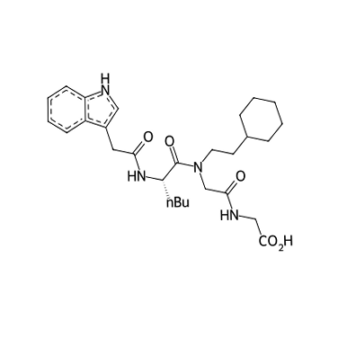 CCCC[C@H](NC(=O)Cc1c[nH]c2ccccc12)C(=O)N(CCC1CCCCC1)CC(=O)NCC(=O)O